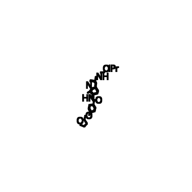 Cc1c(NC(=O)c2ccc(OCC3CCCO3)cc2)ccc2cc(CNCCOC(C)C)cnc12